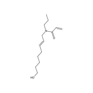 C=CC(=O)N(C/C=C/CCCCCO)CCC